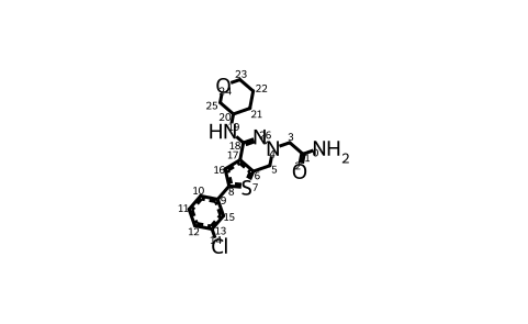 NC(=O)CN1Cc2sc(-c3cccc(Cl)c3)cc2C(NC2CCCOC2)=N1